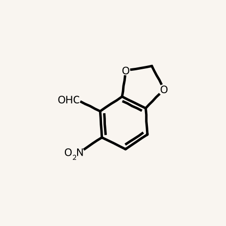 O=Cc1c([N+](=O)[O-])ccc2c1OCO2